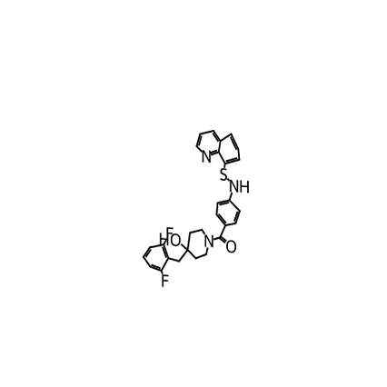 O=C(c1ccc(NSc2cccc3cccnc23)cc1)N1CCC(O)(Cc2c(F)cccc2F)CC1